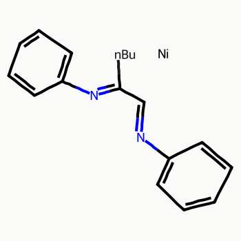 CCCCC(C=Nc1ccccc1)=Nc1ccccc1.[Ni]